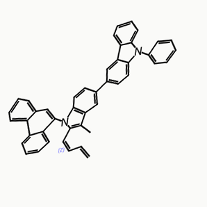 C=C/C=C\c1c(C)c2cc(-c3ccc4c(c3)c3ccccc3n4-c3ccccc3)ccc2n1-c1cc2ccccc2c2ccccc12